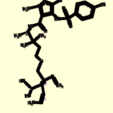 C=N/C(COCCC(C)(C)[C@H](C)NC(=O)c1c(NS(=O)(=O)c2ccc(C#N)cc2)c(Br)nn1C)=C(\C=C/C)B(O)O